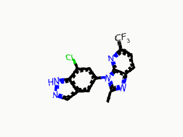 Cc1nc2ccc(C(F)(F)F)nc2n1-c1cc(Cl)c2[nH]ncc2c1